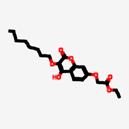 CCCCCCCCOc1c(O)c2ccc(OCC(=O)OCC)cc2oc1=O